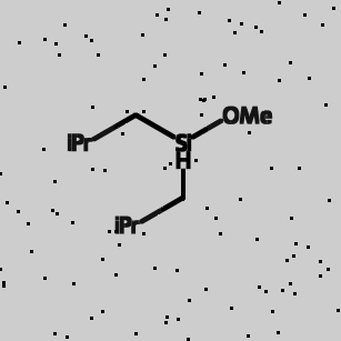 CO[SiH](CC(C)C)CC(C)C